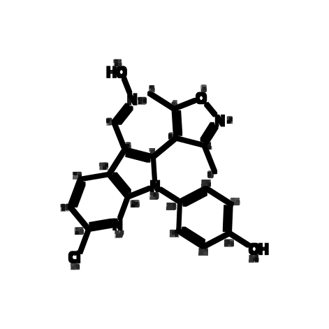 Cc1noc(C)c1-c1c(C=NO)c2ccc(Cl)nc2n1-c1ccc(O)cc1